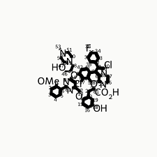 COc1ccccc1-c1nccc(COc2ccc(O)cc2CC(Oc2nccn3c(Cl)c(-c4ccc(F)cc4)c(-c4ccc(O[C@@H](CO)CN5CCN(C)CC5)c(Cl)c4C)c23)C(=O)O)n1